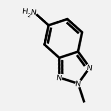 Cn1nc2ccc(N)cc2n1